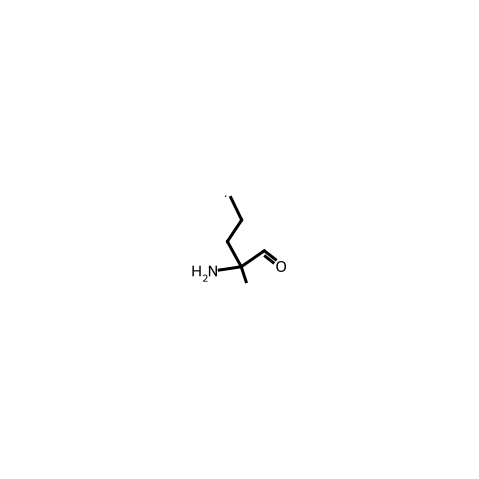 [CH2]CCC(C)(N)C=O